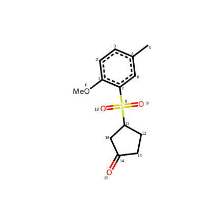 COc1ccc(C)cc1S(=O)(=O)C1CCC(=O)C1